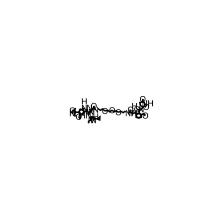 CCn1nc(C2CC2)cc1Nc1nc(C(=O)NCCCOCCOCCOCCCNC(=O)CNc2cccc(C=O)c2C(=O)N(C)C2CCC(=O)NC2=O)nc2[nH]c3cc(-c4c(C)noc4C)c(OC)cc3c12